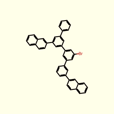 Brc1cc(-c2cccc(-c3ccc4ccccc4c3)c2)cc(-c2cc(-c3ccccc3)cc(-c3ccc4ccccc4c3)c2)c1